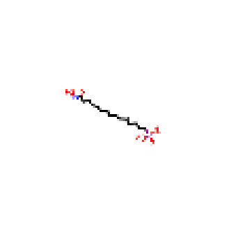 O=C(CCCCCCCCCCCCCCP(=O)(O)O)NO